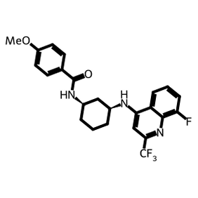 COc1ccc(C(=O)N[C@@H]2CCC[C@H](Nc3cc(C(F)(F)F)nc4c(F)cccc34)C2)cc1